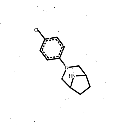 Clc1ccc(N2CC3CCC(C2)N3)cc1